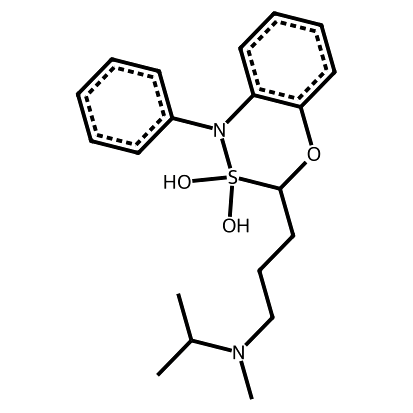 CC(C)N(C)CCCC1Oc2ccccc2N(c2ccccc2)S1(O)O